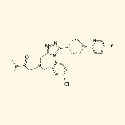 CN(C)C(=O)CN1Cc2cc(Cl)ccc2-n2c(nnc2C2CCN(c3ccc(F)cn3)CC2)C1